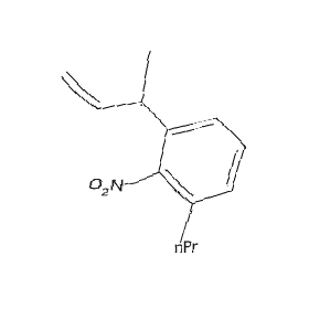 C=C[C](C)c1cccc(CCC)c1[N+](=O)[O-]